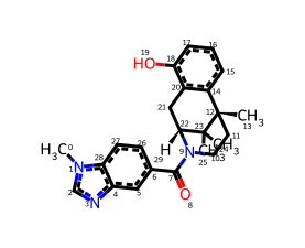 Cn1cnc2cc(C(=O)N3CC[C@@]4(C)c5cccc(O)c5C[C@@H]3C4(C)C)ccc21